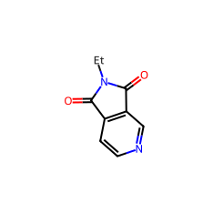 CCN1C(=O)c2ccncc2C1=O